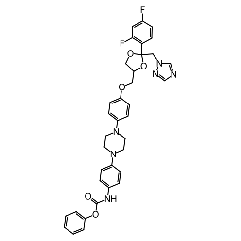 O=C(Nc1ccc(N2CCN(c3ccc(OCC4COC(Cn5cncn5)(c5ccc(F)cc5F)O4)cc3)CC2)cc1)Oc1ccccc1